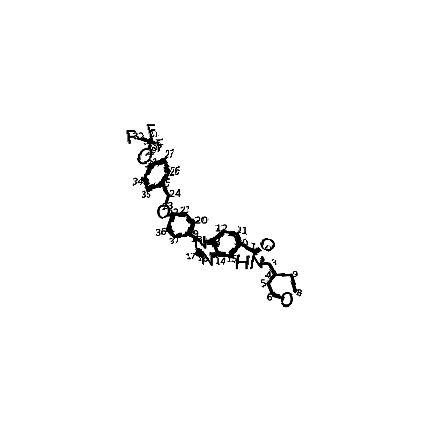 O=C(NCC1CCOCC1)c1ccc2c(c1)ncn2-c1ccc(OCc2ccc(OC(F)(F)F)cc2)cc1